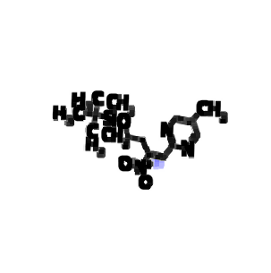 Cc1cnc(/C=C(\CCO[Si](C)(C)C(C)(C)C)[N+](=O)[O-])nc1